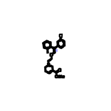 COC(=O)C1=CCCN(CCO/C=C(/c2cccc(Cl)c2)c2ccccc2C)C1